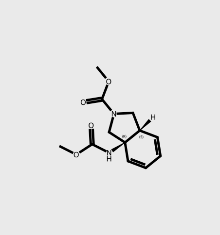 COC(=O)N[C@]12C=CC=C[C@H]1CN(C(=O)OC)C2